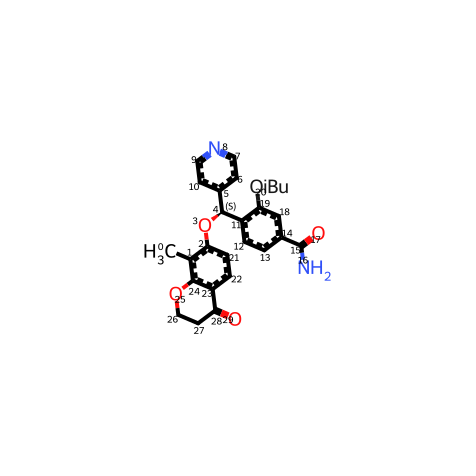 Cc1c(O[C@@H](c2ccncc2)c2ccc(C(N)=O)cc2OCC(C)C)ccc2c1OCCC2=O